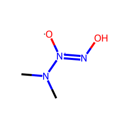 CN(C)[N+]([O])=NO